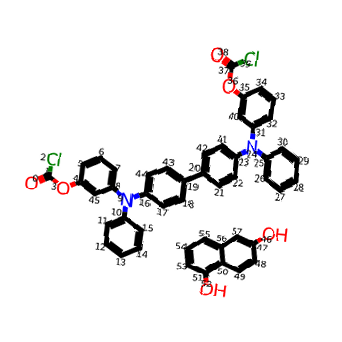 O=C(Cl)Oc1cccc(N(c2ccccc2)c2ccc(-c3ccc(N(c4ccccc4)c4cccc(OC(=O)Cl)c4)cc3)cc2)c1.Oc1ccc2c(O)cccc2c1